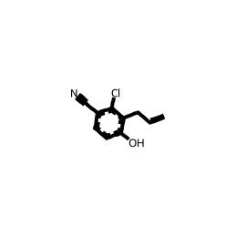 C=CCc1c(O)ccc(C#N)c1Cl